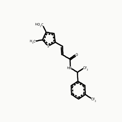 Cc1sc(C=CC(=O)NC(c2cccc(C(F)(F)F)c2)C(F)(F)F)cc1C(=O)O